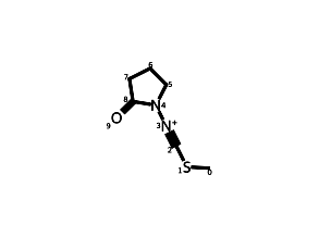 CSC#[N+]N1CCCC1=O